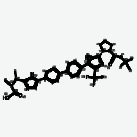 C[C@@H](c1ncc(-c2ccc(-c3ccc(-c4[nH]c([C@@H]5CCCN5C(=O)OC(C)(C)C)nc4C(F)(F)F)cc3)cc2)[nH]1)N(C)C(=O)O